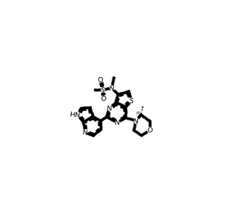 C[C@@H]1COCCN1c1nc(-c2ccnc3[nH]ccc23)nc2c(N(C)S(C)(=O)=O)csc12